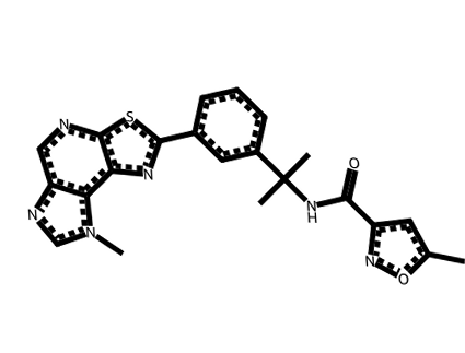 Cc1cc(C(=O)NC(C)(C)c2cccc(-c3nc4c(ncc5ncn(C)c54)s3)c2)no1